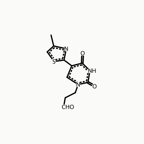 Cc1csc(-c2cn(CCC=O)c(=O)[nH]c2=O)n1